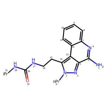 CCCn1nc2c(N)nc3ccccc3c2c1CCNC(=O)NC(C)C